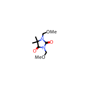 COCN1C(=O)N(COC)C(C)(C)C1=O